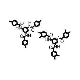 Cc1ccc(C(=O)Nc2cc(NC(=O)c3ccc(C)c(C)c3)cc(NC(=O)c3ccc(C)c(C)c3)c2)cc1C.Cc1ccc(C(=O)Nc2cc(NC(=O)c3ccc(C)cc3)cc(NC(=O)c3ccc(C)cc3)c2)cc1